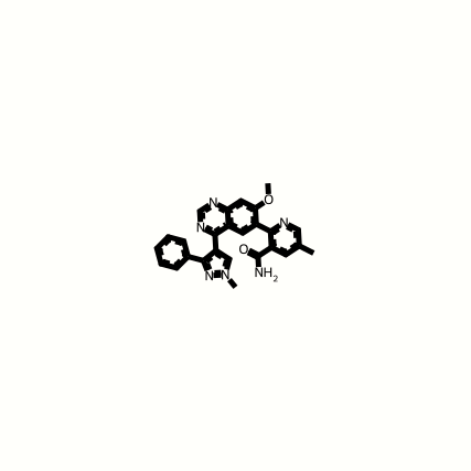 COc1cc2ncnc(-c3cn(C)nc3-c3ccccc3)c2cc1-c1ncc(C)cc1C(N)=O